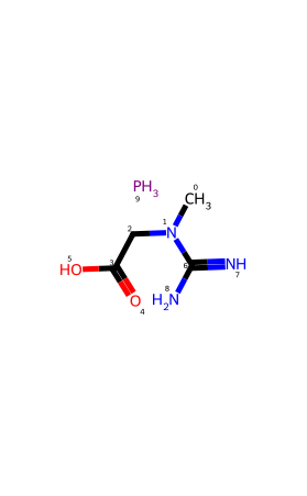 CN(CC(=O)O)C(=N)N.P